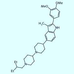 CCC(CC)CN1CCC(N2CCC(c3ccc4[nH]c(-c5ccc(OC)c(OC)c5)c(C)c4c3)CC2)CC1